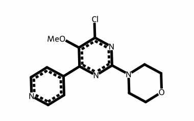 COc1c(Cl)nc(N2CCOCC2)nc1-c1ccncc1